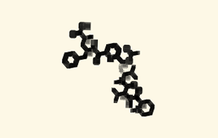 CC(=O)O[C@H](C[C@H](C(C)C)N(C)C(=O)[C@@H](NC(=O)[C@H]1CCCCN1C)C(C)C)c1cccc(C(=O)N[C@@H](Cc2ccccc2)C[C@H](C)C(=O)O)n1